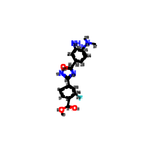 COC(=O)c1ccc(-c2noc(-c3ccc(N(C)C)c(N)c3)n2)cc1F